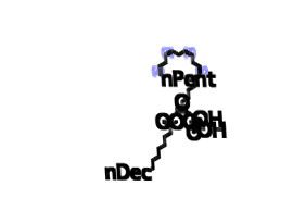 CCCCC/C=C\C/C=C\C/C=C\C/C=C\CCCCO[C@H](COC(=O)CCCCCCCCCCCCCCCCC)COP(=O)(O)O